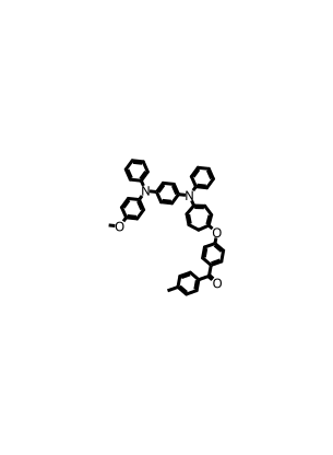 COc1ccc(N(c2ccccc2)c2ccc(N(C3=CC=C(Oc4ccc(C(=O)c5ccc(C)cc5)cc4)CC=C3)c3ccccc3)cc2)cc1